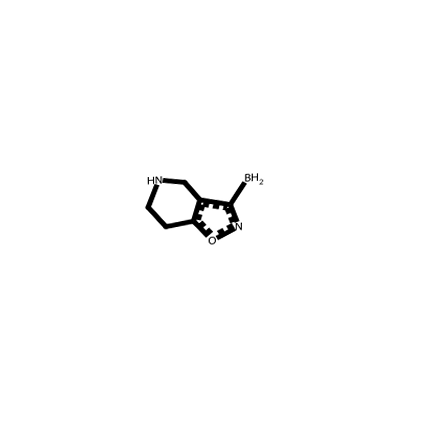 Bc1noc2c1CNCC2